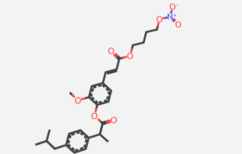 COc1cc(/C=C/C(=O)OCCCCO[N+](=O)[O-])ccc1OC(=O)C(C)c1ccc(CC(C)C)cc1